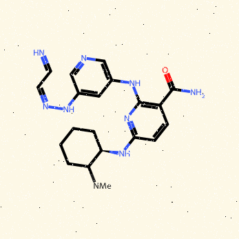 CNC1CCCC[C@H]1Nc1ccc(C(N)=O)c(Nc2cncc(N/N=C\C=N)c2)n1